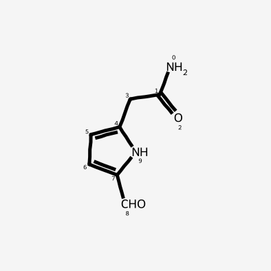 NC(=O)Cc1ccc(C=O)[nH]1